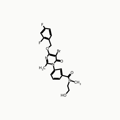 Cc1nc(OCc2ccc(F)cc2F)c(Br)c(=O)n1-c1cccc(C(=O)N(C)CCO)c1